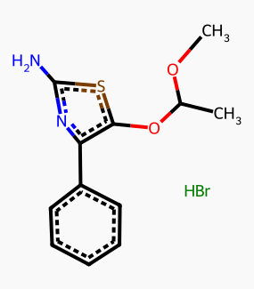 Br.COC(C)Oc1sc(N)nc1-c1ccccc1